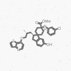 COC(=O)C1(Nc2cccc(Cl)c2)CCC2(CC1)c1cc(O)ccc1C[C@H]2C[C@@H](C)COc1ccnc2ccsc12